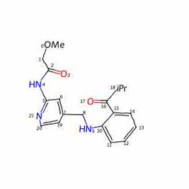 COCC(=O)Nc1cc(CNc2ccccc2C(=O)C(C)C)ccn1